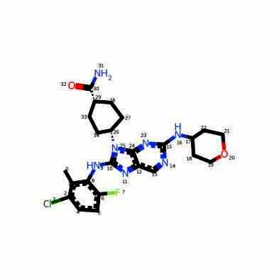 Cc1c(Cl)ccc(F)c1Nc1nc2cnc(NC3CCOCC3)nc2n1[C@H]1CC[C@@H](C(N)=O)CC1